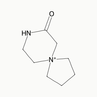 O=C1C[N+]2(CCCC2)CCN1